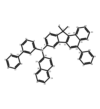 CC1(C)c2ccc(N(c3cccc(-c4ccccc4)c3)c3ccc4ccccc4c3)cc2-c2cc(-c3ccccc3)c3ccccc3c21